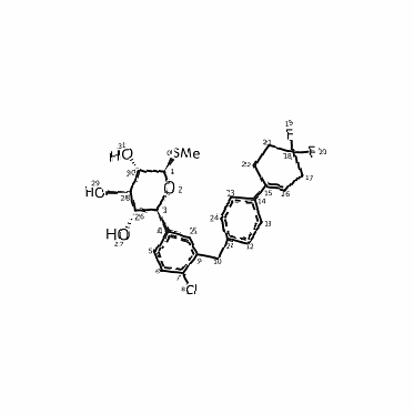 CS[C@H]1O[C@@H](c2ccc(Cl)c(Cc3ccc(C4=CCC(F)(F)CC4)cc3)c2)[C@H](O)[C@@H](O)[C@@H]1O